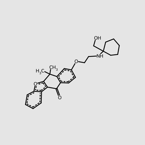 CC1(C)c2cc(OCCNC3(CO)CCCCC3)ccc2C(=O)c2c1oc1ccccc21